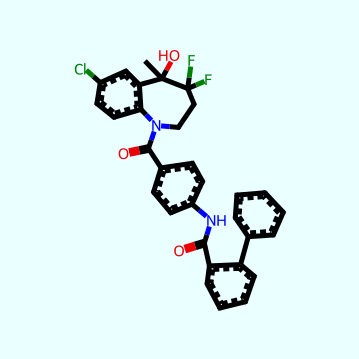 CC1(O)c2cc(Cl)ccc2N(C(=O)c2ccc(NC(=O)c3ccccc3-c3ccccc3)cc2)CCC1(F)F